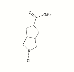 COC(=O)C1CC2CN(Cl)CC2C1